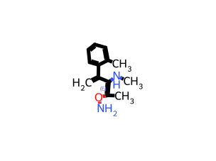 C=C(/C(NC)=C(/C)ON)c1ccccc1C